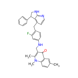 Cc1ccc2c(c1)c(=O)c(CNc1ccc(Cc3ccnc4c3C(c3ccccc3)CN4)c(F)c1)c(C)n2C